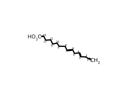 C=CCC=CCC=CCCCCCCCC(=O)O